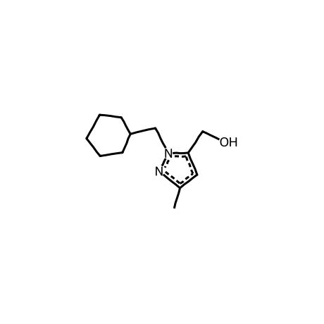 Cc1cc(CO)n(CC2CCCCC2)n1